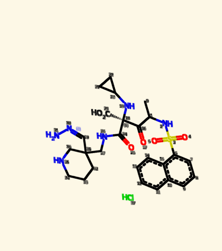 CC(NS(=O)(=O)c1cccc2ccccc12)C(=O)[C@@](NC1CC1)(C(=O)O)C(=O)NCC1(/C=N\N)CCCNC1.Cl